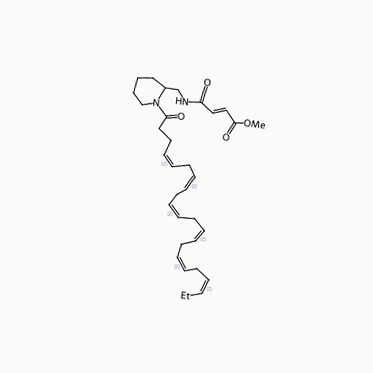 CC/C=C\C/C=C\C/C=C\C/C=C\C/C=C\C/C=C\CCC(=O)N1CCCCC1CNC(=O)C=CC(=O)OC